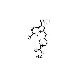 CCc1ccc2c(C(=O)O)cc(C(C)C3CCN(C(=O)OC(C)(C)C)CC3)n2n1